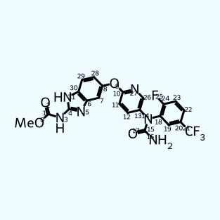 COC(=O)Nc1nc2cc(Oc3ccc(N(C(N)=O)c4cc(C(F)(F)F)ccc4F)cn3)ccc2[nH]1